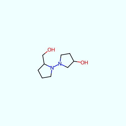 OCC1CCCN1N1CCC(O)C1